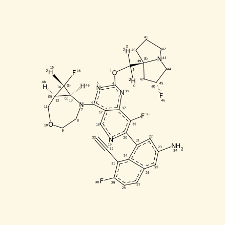 [2H]C([2H])(Oc1nc(N2CCOC[C@@H]3[C@H]2[C@@]3([2H])F)c2cnc(-c3cc(N)cc4ccc(F)c(C#C)c34)c(F)c2n1)[C@@]12CCCN1C[C@H](F)C2